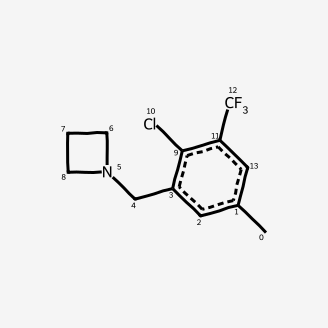 Cc1cc(CN2CCC2)c(Cl)c(C(F)(F)F)c1